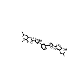 COC(=O)C(CC(C)C)NC(=O)c1cc(-c2cccc(-c3ncc(C(=O)NC(CC(C)C)C(=O)O)o3)c2)[nH]n1